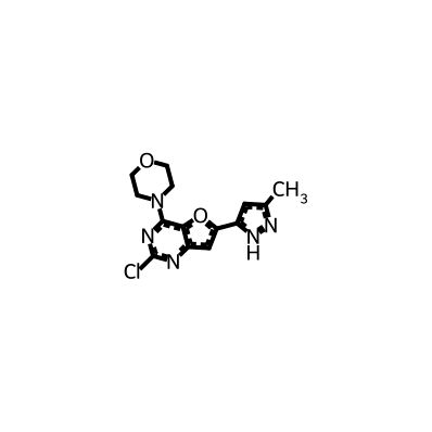 Cc1cc(-c2cc3nc(Cl)nc(N4CCOCC4)c3o2)[nH]n1